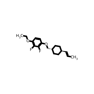 CC=C[C@H]1CC[C@H](COc2ccc(OCC)c(F)c2F)CC1